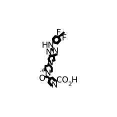 C[C@@H]1C[C@H](N2Cc3cnc(Nc4ccc(C(C)(F)F)cc4)nc3C2)CCN1C(=O)c1ccnc(C(=O)O)c1